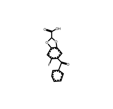 O=C(c1ccccc1)c1cc2c(cc1F)OC(C(=O)O)O2